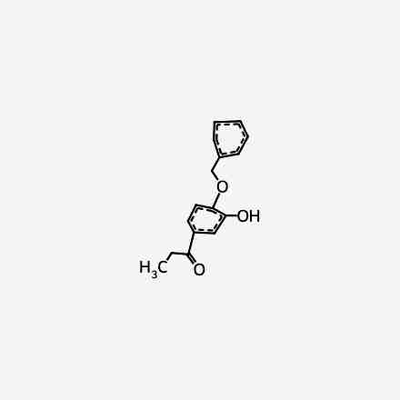 CCC(=O)c1ccc(OCc2ccccc2)c(O)c1